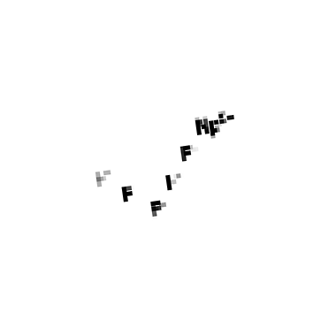 [F-].[F-].[F-].[F-].[F-].[Np+5]